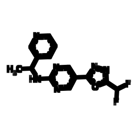 CC(Nc1ncc(-c2nnc(C(F)F)o2)cn1)c1cccnc1